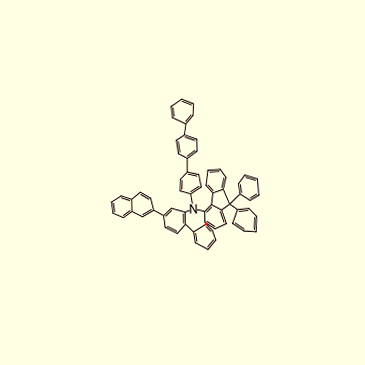 c1ccc(-c2ccc(-c3ccc(N(c4cc(-c5ccc6ccccc6c5)ccc4-c4ccccc4)c4cccc5c4-c4ccccc4C5(c4ccccc4)c4ccccc4)cc3)cc2)cc1